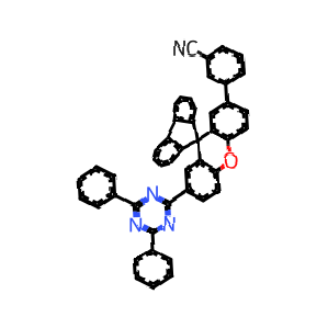 N#Cc1cccc(-c2ccc3c(c2)C2(c4cc(-c5nc(-c6ccccc6)nc(-c6ccccc6)n5)ccc4O3)c3ccccc3-c3ccccc32)c1